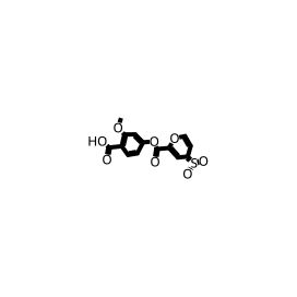 COc1cc(OC(=O)c2cc(=S(=O)=O)cco2)ccc1C(=O)O